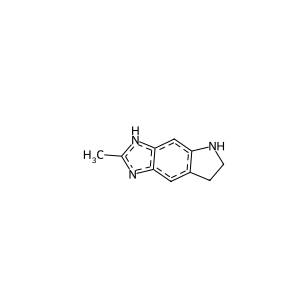 Cc1nc2cc3c(cc2[nH]1)NCC3